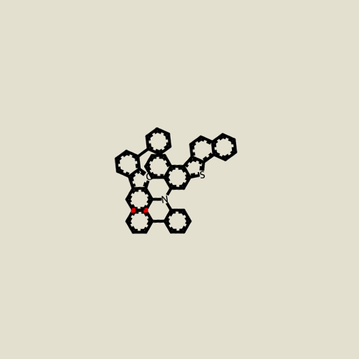 c1ccc(-c2ccccc2N(c2cc3sc4c5ccccc5ccc4c3c3ccccc23)c2cccc3c2oc2c(-c4ccccc4)cccc23)cc1